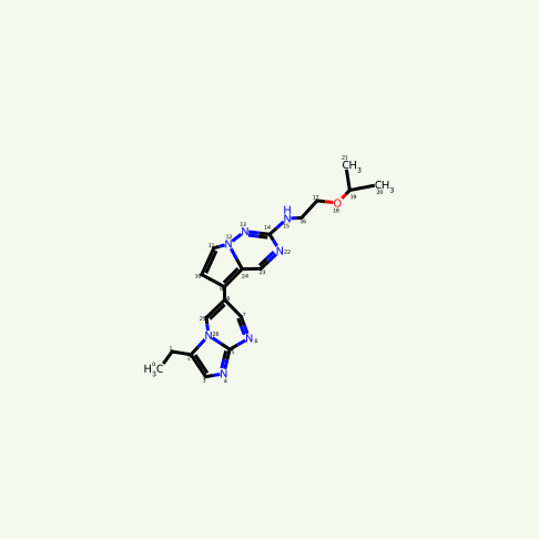 CCc1cnc2ncc(-c3ccn4nc(NCCOC(C)C)ncc34)cn12